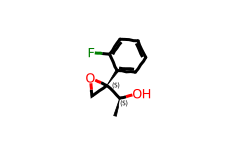 C[C@H](O)[C@]1(c2ccccc2F)CO1